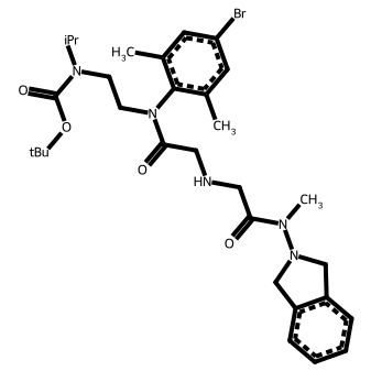 Cc1cc(Br)cc(C)c1N(CCN(C(=O)OC(C)(C)C)C(C)C)C(=O)CNCC(=O)N(C)N1Cc2ccccc2C1